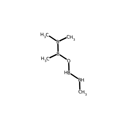 CBBOB(C)B(C)C